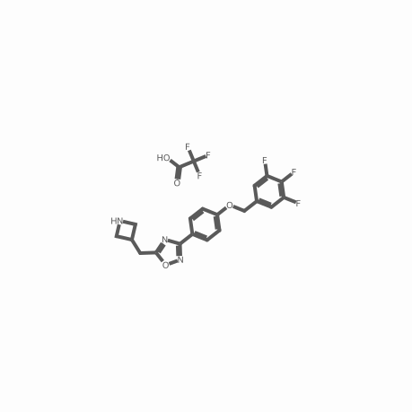 Fc1cc(COc2ccc(-c3noc(CC4CNC4)n3)cc2)cc(F)c1F.O=C(O)C(F)(F)F